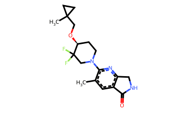 Cc1cc2c(nc1N1CC[C@H](OCC3(C)CC3)C(F)(F)C1)CNC2=O